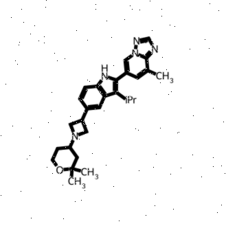 Cc1cc(-c2[nH]c3ccc(C4CN(C5CCOC(C)(C)C5)C4)cc3c2C(C)C)cn2ncnc12